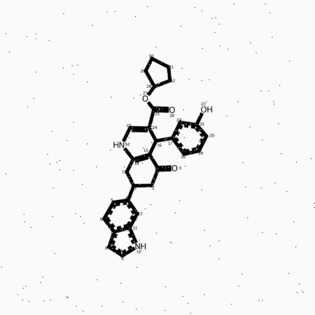 O=C1CC(c2ccc3cc[nH]c3c2)CC2=C1C(c1cccc(O)c1)C(C(=O)OC1CCCC1)=CN2